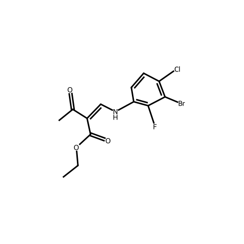 CCOC(=O)/C(=C\Nc1ccc(Cl)c(Br)c1F)C(C)=O